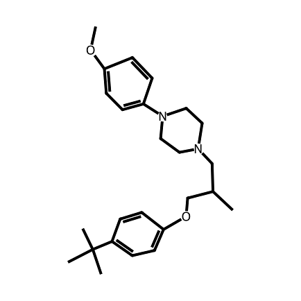 COc1ccc(N2CCN(CC(C)COc3ccc(C(C)(C)C)cc3)CC2)cc1